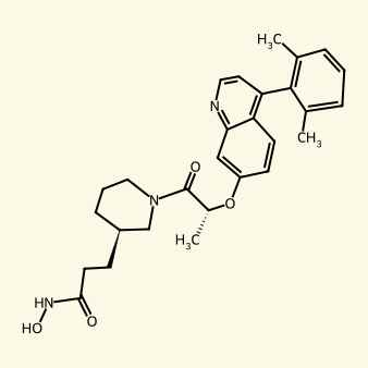 Cc1cccc(C)c1-c1ccnc2cc(O[C@H](C)C(=O)N3CCC[C@H](CCC(=O)NO)C3)ccc12